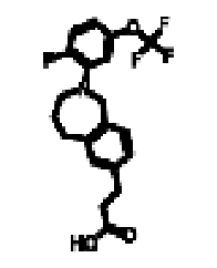 O=C(O)CCc1ccc2c(c1)CCCN(c1cc(OC(F)(F)F)ccc1F)C2